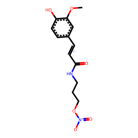 COc1cc(/C=C/C(=O)NCCCO[N+](=O)[O-])ccc1O